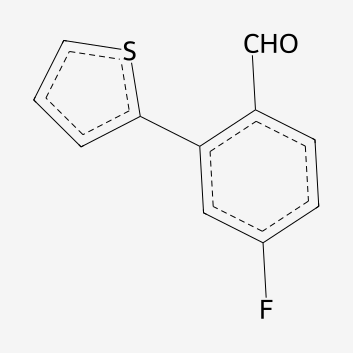 O=Cc1ccc(F)cc1-c1cccs1